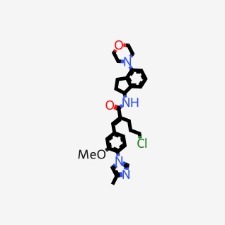 COc1cc(/C=C(\CCCCl)C(=O)NC2CCc3c2cccc3N2CCOCC2)ccc1-n1cnc(C)c1